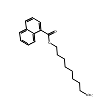 CCCCCCCCCCCCCCCCCCOC(=O)c1cccc2ccccc12